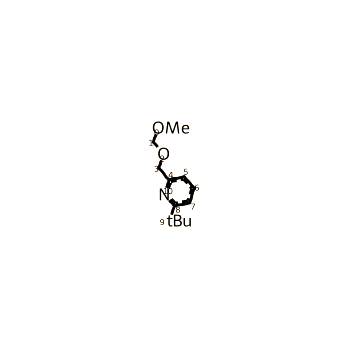 COCOCc1cccc(C(C)(C)C)n1